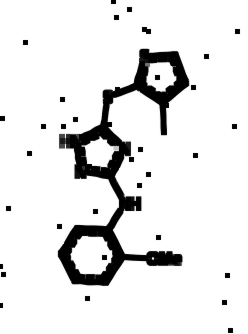 COc1ccccc1Nc1n[nH]c(Sc2sccc2C)n1